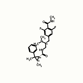 CNC(=O)c1c(F)cc(C[C@@H](CNC(=O)[C@@H]2[C@H](C)C2(C)c2ccccc2)N(C)C)cc1F